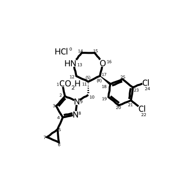 Cl.O=C(O)c1cc(C2CC2)nn1C[C@@H]1CNCCO[C@H]1c1ccc(Cl)c(Cl)c1